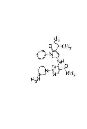 CC(C)c1cc(Nc2nc(N3CCC[C@H](N)C3)ncc2C(N)=O)cn(-c2ccccc2)c1=O